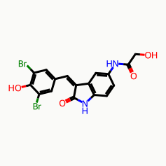 O=C(CO)Nc1ccc2c(c1)C(=Cc1cc(Br)c(O)c(Br)c1)C(=O)N2